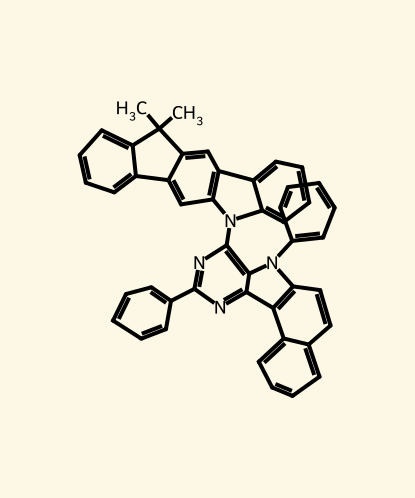 CC1(C)c2ccccc2-c2cc3c(cc21)c1ccccc1n3-c1nc(-c2ccccc2)nc2c3c4ccccc4ccc3n(-c3ccccc3)c12